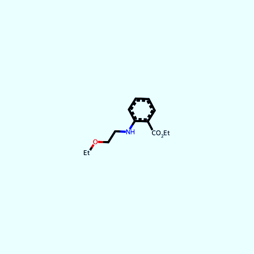 CCOCCNc1ccccc1C(=O)OCC